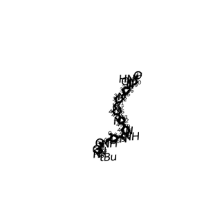 Cc1cc(-c2n[nH]c3ncc(-c4ccc(C5CCN(CC6CCN(c7ccc(N8CCC(=O)NC8=O)cc7)CC6)CC5)nc4)cc23)ccc1CNC(=O)c1nc(C(C)(C)C)no1